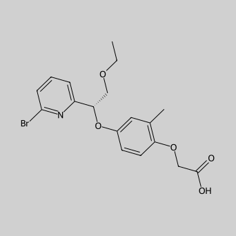 CCOC[C@H](Oc1ccc(OCC(=O)O)c(C)c1)c1cccc(Br)n1